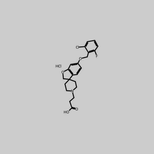 Cl.O=C(O)CCN1CCC2(CC1)COc1cc(OCc3c(F)cccc3Cl)ccc12